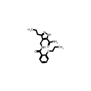 CCCOc1ccccc1C(=O)NCc1c(CCC)n[nH]c1C(N)=O